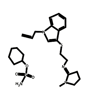 C=CCn1cc(SCCN=C2CCCN2C)c2ccccc21.NS(=O)(=O)OC1CCCCC1